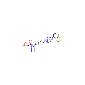 COCC(=O)NC1CC(CCN2CCN(c3cccc4sccc34)CC2)C1